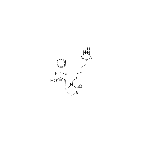 O=C1SCC[C@H](C=C[C@@H](O)C(F)(F)c2ccccc2)N1CCCCCCc1nn[nH]n1